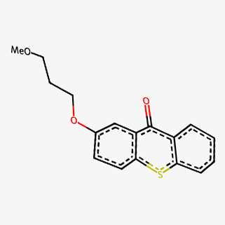 COCCCOc1ccc2sc3ccccc3c(=O)c2c1